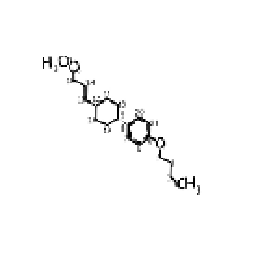 CCCCOc1ccc([C@H]2CC[C@H](C=CCOC)CC2)cc1